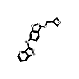 c1cnc2c(Nc3ccc4c(OCC5COC5)noc4c3)n[nH]c2c1